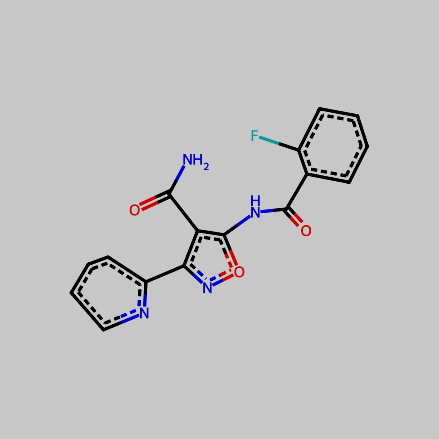 NC(=O)c1c(-c2ccccn2)noc1NC(=O)c1ccccc1F